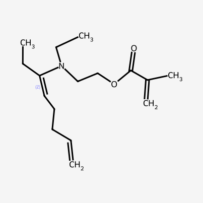 C=CCC/C=C(/CC)N(CC)CCOC(=O)C(=C)C